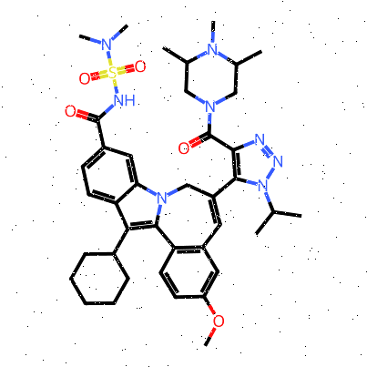 COc1ccc2c(c1)C=C(c1c(C(=O)N3CC(C)N(C)C(C)C3)nnn1C(C)C)Cn1c-2c(C2CCCCC2)c2ccc(C(=O)NS(=O)(=O)N(C)C)cc21